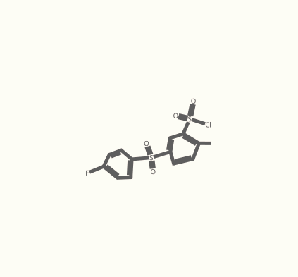 Cc1ccc(S(=O)(=O)c2ccc(F)cc2)cc1S(=O)(=O)Cl